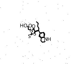 CCCCC(=C1SC(=S)N(CC(=O)O)C1=O)c1ccc2c(c1)CCCN2